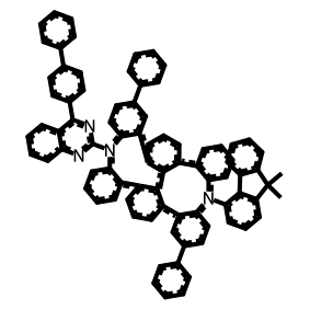 CC1(C)c2ccccc2-c2c(-n3c4ccccc4c4cccc5c6cc(-c7ccccc7)ccc6n(-c6nc(-c7ccc(-c8ccccc8)cc7)c7ccccc7n6)c6ccccc6c6cccc(c7cc(-c8ccccc8)ccc73)c6c54)cccc21